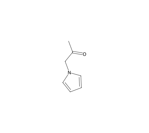 CC(=O)Cn1cccc1